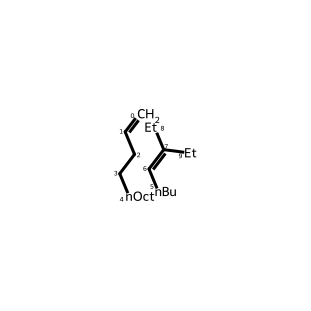 C=CCCCCCCCCCC.CCCCC=C(CC)CC